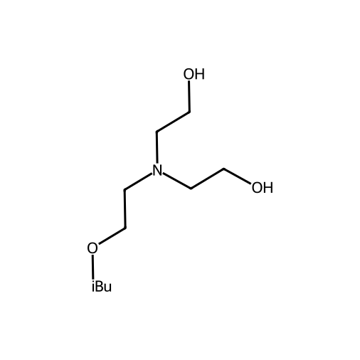 CCC(C)OCCN(CCO)CCO